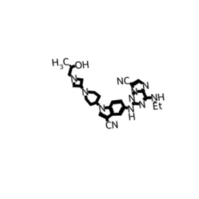 CCNc1nc(Nc2ccc3c(c2)c(C#N)cn3C2CCN(C3CN(C[C@@H](C)O)C3)CC2)nn2c(C#N)cnc12